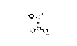 COCCN1C[C@@H](NC(=O)Nc2c(C)c(-c3ccc4nccn4c3)nn2-c2ccccc2)[C@H](c2ccc(F)c(F)c2)O1